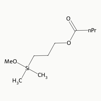 CCCC(=O)OCCC[Si](C)(C)OC